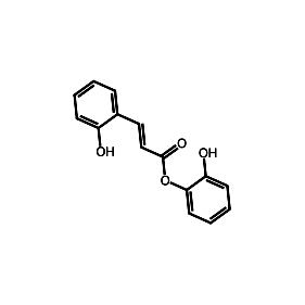 O=C(C=Cc1ccccc1O)Oc1ccccc1O